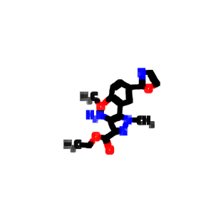 CCOC(=O)c1nn(C)c(-c2cc(-c3ncco3)ccc2OC)c1N